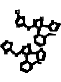 CCc1ccccc1-n1c(Sc2ncc(Cl)s2)nnc1-c1cccs1.CCc1ccccc1-n1c(Sc2nccs2)nnc1-c1cccs1